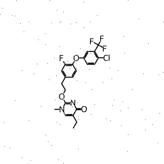 CCc1cn(C)c(OCCc2ccc(Oc3ccc(Cl)c(C(F)(F)F)c3)c(F)c2)nc1=O